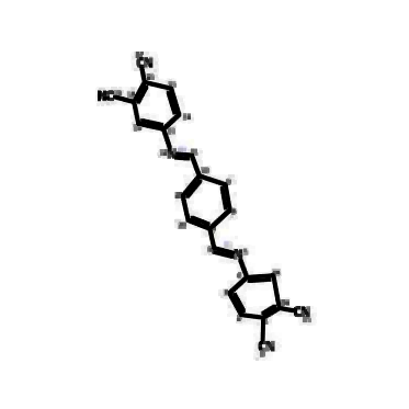 N#Cc1ccc(/N=C/c2ccc(/C=N/c3ccc(C#N)c(C#N)c3)cc2)cc1C#N